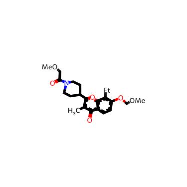 CCc1c(OCOC)ccc2c(=O)c(C)c(C3CCN(C(=O)COC)CC3)oc12